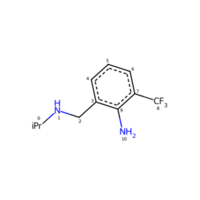 CC(C)NCc1cccc(C(F)(F)F)c1N